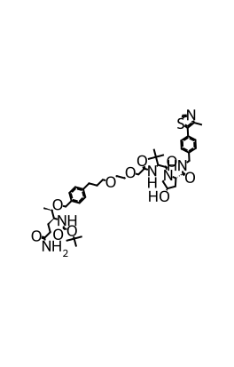 Cc1ncsc1-c1ccc(CNC(=O)[C@@H]2C[C@@H](O)CN2C(=O)[C@@H](NC(=O)COCCOCCCc2ccc(CO[C@H](C)[C@H](CCC(N)=O)NC(=O)OC(C)(C)C)cc2)C(C)(C)C)cc1